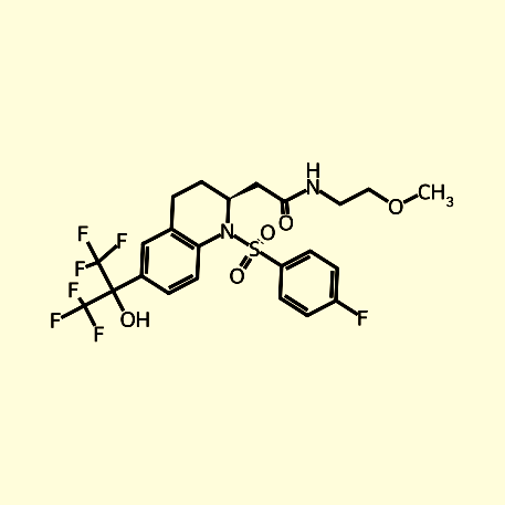 COCCNC(=O)C[C@@H]1CCc2cc(C(O)(C(F)(F)F)C(F)(F)F)ccc2N1S(=O)(=O)c1ccc(F)cc1